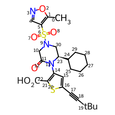 Cc1oncc1S(=O)(=O)N1CC(=O)N(c2cc(C#CC(C)(C)C)sc2C(=O)O)[C@H](C2CCCCC2)C1